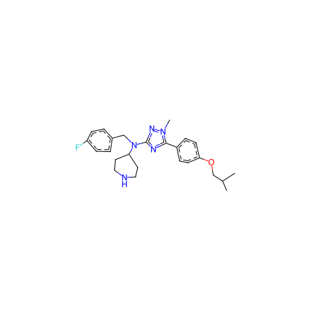 CC(C)COc1ccc(-c2nc(N(Cc3ccc(F)cc3)C3CCNCC3)nn2C)cc1